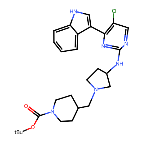 CC(C)(C)OC(=O)N1CCC(CN2CCC(Nc3ncc(Cl)c(-c4c[nH]c5ccccc45)n3)C2)CC1